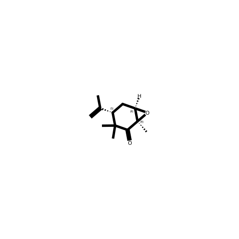 C=C(C)[C@@H]1C[C@H]2O[C@@]2(C)C(=O)C1(C)C